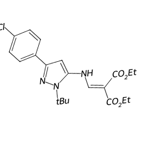 CCOC(=O)C(=CNc1cc(-c2ccc(Cl)cc2)nn1C(C)(C)C)C(=O)OCC